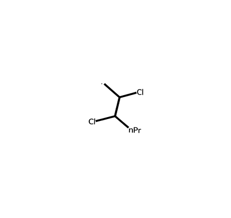 [CH2]C(Cl)C(Cl)CCC